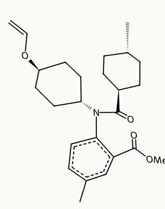 C=CO[C@H]1CC[C@H](N(c2ccc(C)cc2C(=O)OC)C(=O)[C@H]2CC[C@H](C)CC2)CC1